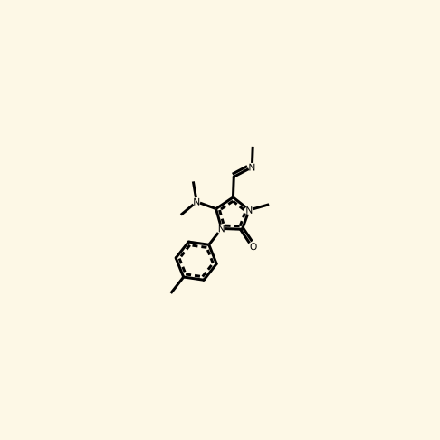 CN=Cc1c(N(C)C)n(-c2ccc(C)cc2)c(=O)n1C